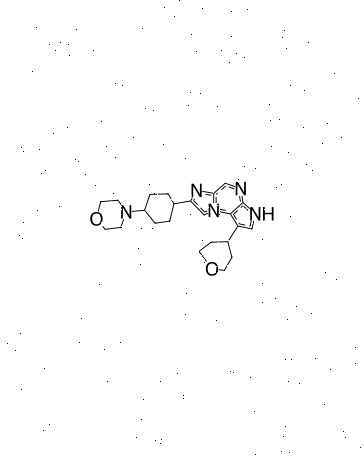 c1[nH]c2ncc3nc(C4CCC(N5CCOCC5)CC4)cn3c2c1C1CCOCC1